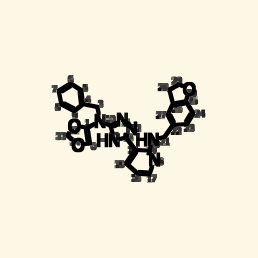 C1=C(N(Cc2ccccc2)c2nnc(-c3cccnc3NCc3ccc4c(c3)CCO4)[nH]2)OCO1